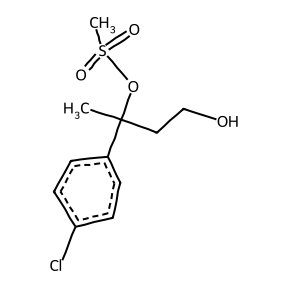 CC(CCO)(OS(C)(=O)=O)c1ccc(Cl)cc1